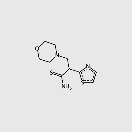 NC(=S)C(CN1CCOCC1)c1nccs1